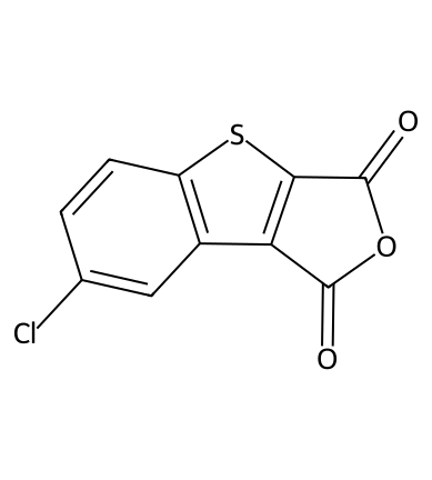 O=C1OC(=O)c2c1sc1ccc(Cl)cc21